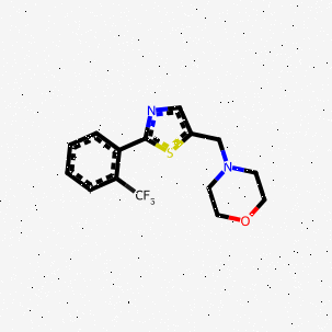 FC(F)(F)c1[c]cccc1-c1ncc(CN2CCOCC2)s1